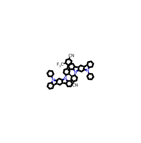 N#Cc1ccc(-n2c3ccccc3c3cc4c5ccccc5n(-c5ccccc5)c4cc32)c(-c2cc(-c3ccc(C#N)cc3C(F)(F)F)ccc2-n2c3ccccc3c3cc4c5ccccc5n(-c5ccccc5)c4cc32)c1